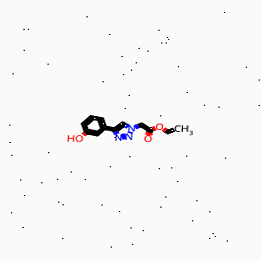 CCOC(=O)Cn1cc(-c2cccc(O)c2)nn1